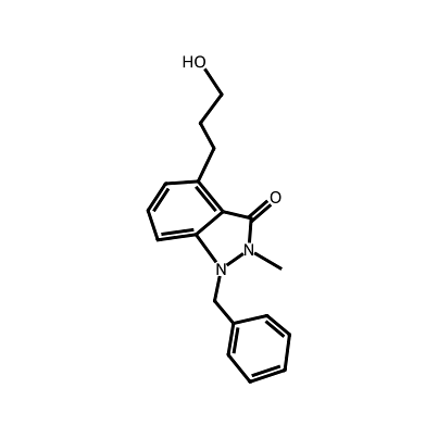 Cn1c(=O)c2c(CCCO)cccc2n1Cc1ccccc1